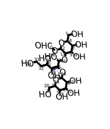 O=COC1OC(CO)C(O)C(O)C1OC(O)/C(OC1OC(CO)C(O)C(O)C1O)=C(/O)C(O)CCO